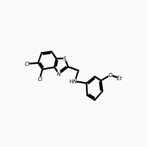 CCOc1cccc(NCc2nc3c(Cl)c(Cl)ccc3s2)c1